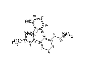 Cc1cc(C2=CCCC(CCN)=C2)n(-c2ccccc2F)n1